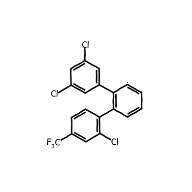 FC(F)(F)c1ccc(-c2ccc[c]c2-c2cc(Cl)cc(Cl)c2)c(Cl)c1